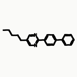 CCCCCc1cnc(-c2ccc(-c3ccccc3)cc2)nc1